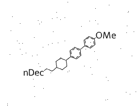 CCCCCCCCCCCCC1CCC(c2ccc(-c3ccc(OC)cc3)cc2)CC1